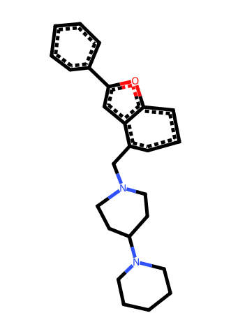 c1ccc(-c2cc3c(CN4CCC(N5CCCCC5)CC4)cccc3o2)cc1